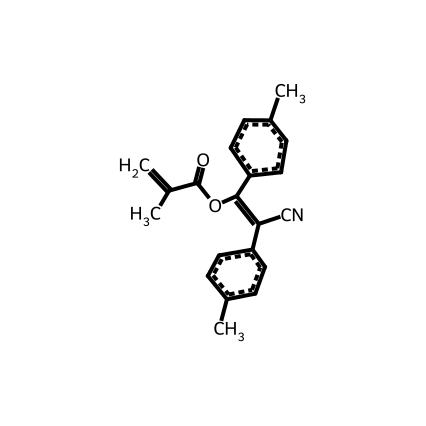 C=C(C)C(=O)OC(=C(C#N)c1ccc(C)cc1)c1ccc(C)cc1